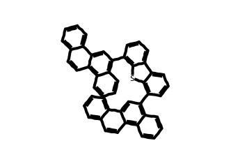 c1ccc2c(c1)ccc1c3ccccc3c(-c3cccc4c3sc3c(-c5cc6c7ccccc7ccc6c6ccccc56)cccc34)cc21